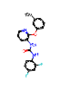 CC(C)(C)c1cccc(Oc2ncccc2NC(=O)Nc2ccc(F)cc2F)c1